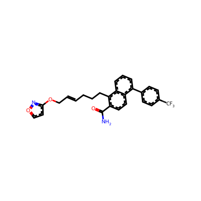 NC(=O)c1ccc2c(-c3ccc(C(F)(F)F)cc3)cccc2c1CCC/C=C/COc1ccon1